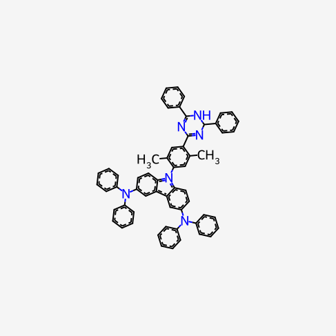 Cc1cc(-n2c3ccc(N(c4ccccc4)c4ccccc4)cc3c3cc(N(c4ccccc4)c4ccccc4)ccc32)c(C)cc1C1=NC(c2ccccc2)NC(c2ccccc2)=N1